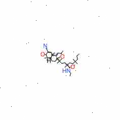 CCCC(C)(C)CC[C@@](C)(CCC(C)(C)[C@]1(C)CC[C@H]2C(C)(C)C(=O)C(C#N)=C[C@]2(C)/C1=C/C(C)=O)C(=O)NCC